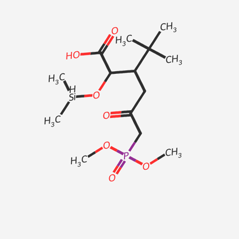 COP(=O)(CC(=O)CC(C(O[SiH](C)C)C(=O)O)C(C)(C)C)OC